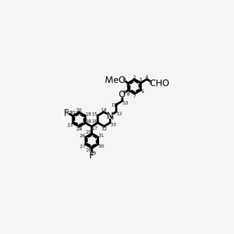 COc1cc(CC=O)ccc1OCCCN1CCC(C(c2ccc(F)cc2)c2ccc(F)cc2)CC1